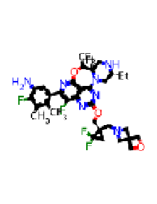 CC[C@@H]1CN2c3nc(OC[C@@]4(CN5CC6(COC6)C5)CC4(F)F)nc4c(F)c(-c5cc(N)c(F)c(C)c5C(F)(F)F)nc(c34)OC(C(F)(F)F)[C@@H]2CN1